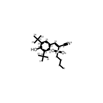 CCCCS(=O)(=O)C(C#N)=Cc1cc(C(C)(C)C)c(O)c(C(C)(C)C)c1